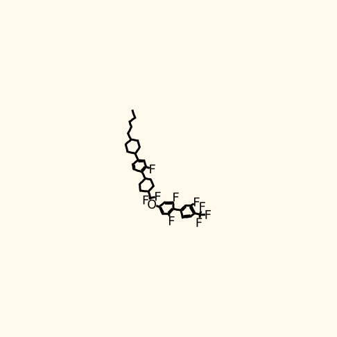 CCCCCC1CCC(c2ccc(C3CCC(C(F)(F)Oc4cc(F)c(-c5ccc(C(F)(F)F)c(F)c5)c(F)c4)CC3)c(F)c2)CC1